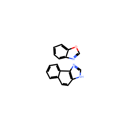 c1ccc2c(c1)ccc1[nH]cnc12.c1ccc2ocnc2c1